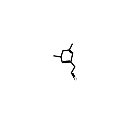 CC1=CC(CC=O)=CC(C)[CH]1